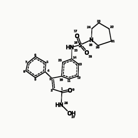 O=C(C=C(c1ccccc1)c1cccc(NS(=O)(=O)N2CCCCC2)c1)NO